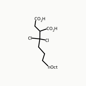 CCCCCCCCCCCC(Cl)(Cl)C(CC(=O)O)C(=O)O